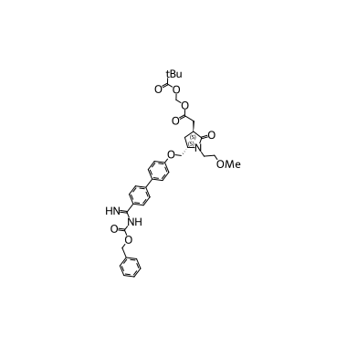 COCCN1C(=O)[C@H](CC(=O)OCOC(=O)C(C)(C)C)C[C@H]1COc1ccc(-c2ccc(C(=N)NC(=O)OCc3ccccc3)cc2)cc1